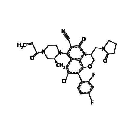 C=CC(=O)N1CCN(c2c(C#N)c(=O)n3c4c(c(-c5ccc(F)cc5F)c(Cl)cc24)OCC3CN2CCCC2=O)[C@@H](C)C1